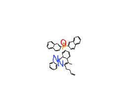 C=CCCC1=C(C)C2C=CC(P(=O)(c3ccc4ccccc4c3)c3ccc4ccccc4c3)=CC2c2nc3ccccc3n21